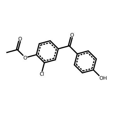 CC(=O)Oc1ccc(C(=O)c2ccc(O)cc2)cc1Cl